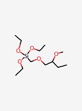 CCO[Si](COCC(CC)OC)(OCC)OCC